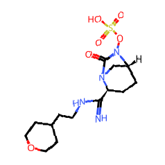 N=C(NCCC1CCOCC1)[C@@H]1CC[C@@H]2CN1C(=O)N2OS(=O)(=O)O